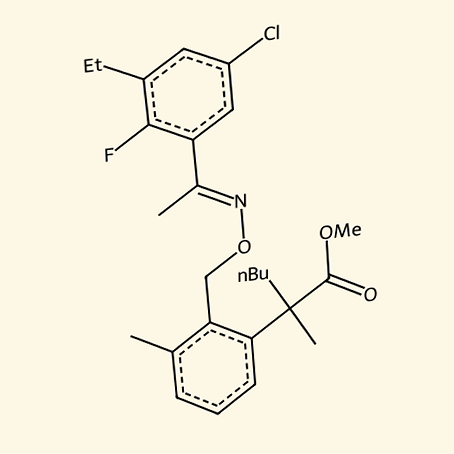 CCCCC(C)(C(=O)OC)c1cccc(C)c1CO/N=C(\C)c1cc(Cl)cc(CC)c1F